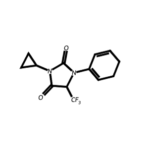 O=C1C(C(F)(F)F)N(C2=CCCC=C2)C(=O)N1C1CC1